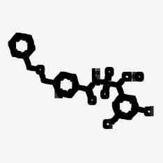 O=CC(c1cc(Cl)cc(Cl)c1)S(=O)(=O)NC(=O)c1ccc(COCc2ccccc2)nc1